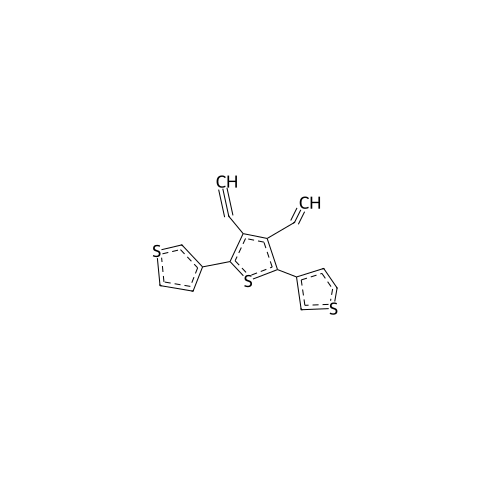 C#Cc1c(-c2ccsc2)sc(-c2ccsc2)c1C#C